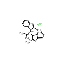 CC1=Cc2ccccc2[CH]1[Hf+2](=[C](C)C)[CH]1C(C)=Cc2ccccc21.[Cl-].[Cl-]